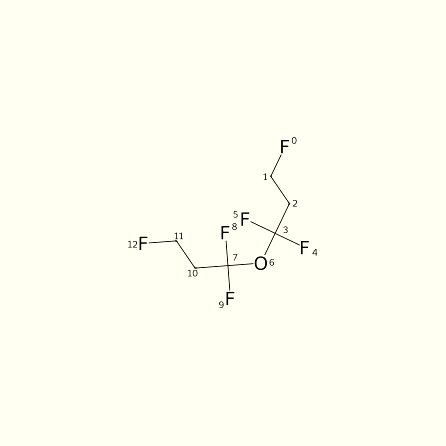 FCCC(F)(F)OC(F)(F)CCF